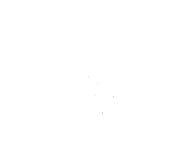 CCOC(=O)C1CCN(c2ccccc2C2C(C(=O)O)=C(C)Nc3nnnn32)CC1